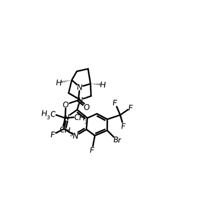 CC(C)(C)OC(=O)N1[C@@H]2CC[C@H]1CN(c1nc(F)nc3c(F)c(Br)c(C(F)(F)F)cc13)C2